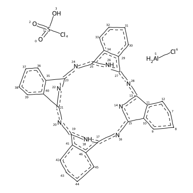 O=S(=O)(O)Cl.[AlH2][Cl].c1ccc2c(c1)-c1nc-2nc2[nH]c(nc3nc(nc4[nH]c(n1)c1ccccc41)-c1ccccc1-3)c1ccccc21